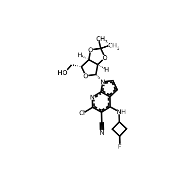 CC1(C)O[C@@H]2[C@H](O1)[C@@H](CO)O[C@H]2n1ccc2c(NC3CC(F)C3)c(C#N)c(Cl)nc21